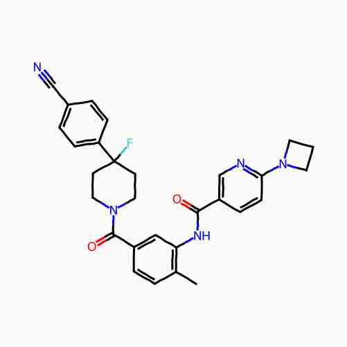 Cc1ccc(C(=O)N2CCC(F)(c3ccc(C#N)cc3)CC2)cc1NC(=O)c1ccc(N2CCC2)nc1